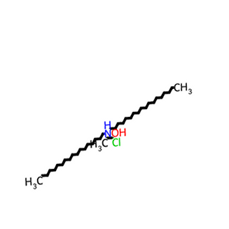 CCC(O)Cl.CCCCCCCCCCCCCCCCCCNCCCCCCCCCCCCCCCCCC